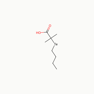 CCCC[Te]C(C)(C)C(=O)O